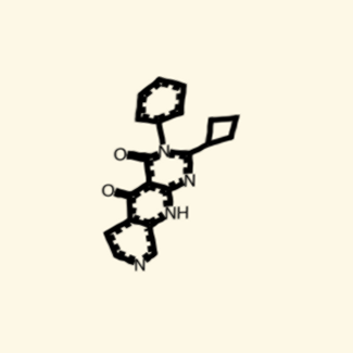 O=c1c2ccncc2[nH]c2nc(C3CCC3)n(-c3ccccc3)c(=O)c12